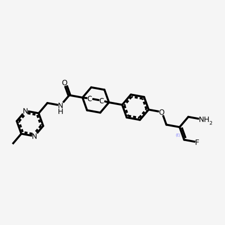 Cc1cnc(CNC(=O)C23CCC(c4ccc(OC/C(=C/F)CN)cc4)(CC2)CC3)cn1